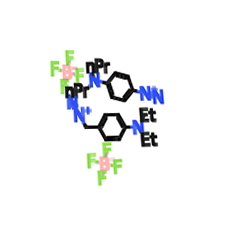 CCCN(CCC)c1ccc([N+]#N)cc1.CCN(CC)c1ccc(C[N+]#N)cc1.F[B-](F)(F)F.F[B-](F)(F)F